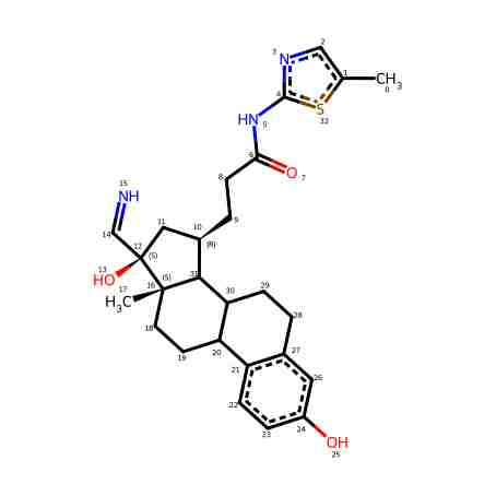 Cc1cnc(NC(=O)CC[C@@H]2C[C@@](O)(C=N)[C@@]3(C)CCC4c5ccc(O)cc5CCC4C23)s1